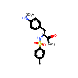 CNC(=O)[C@H](Cc1ccc(NS(=O)(=O)O)cc1)NS(=O)(=O)c1ccc(C)cc1